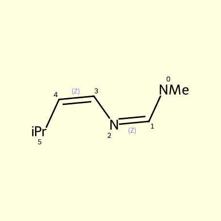 CN/C=N\C=C/C(C)C